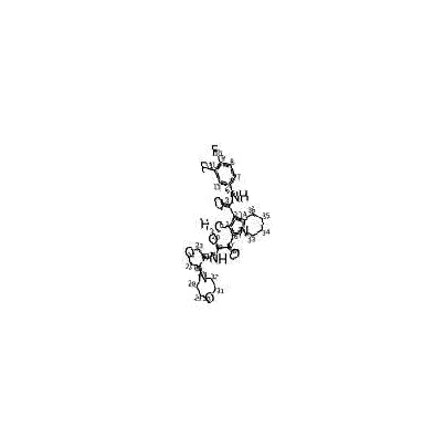 Cc1c(C(=O)Nc2ccc(F)c(F)c2)c2n(c1C(=O)C(=O)N[C@@H]1COC[C@H]1N1CCOCC1)CCCC2